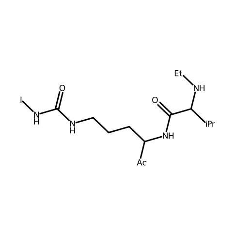 CCNC(C(=O)NC(CCCNC(=O)NI)C(C)=O)C(C)C